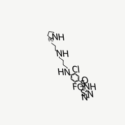 O=S(=O)(Nc1ncns1)c1cc(Cl)c(NCCCCNCCC[C@@H]2CCCN2)cc1F